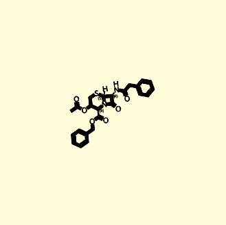 CC(=O)OC1CS[C@H]2[C@H](NC(=O)Cc3ccccc3)C(=O)N2[C@H]1C(=O)OCc1ccccc1